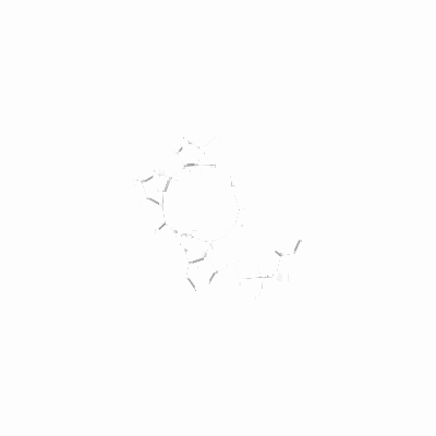 C=CC(=O)NC(F)(F)COc1cccc2c1N1CCCCCOc3c(cnn3C)-c3cc(cc(C)n3)C(=O)/N=C/1N2